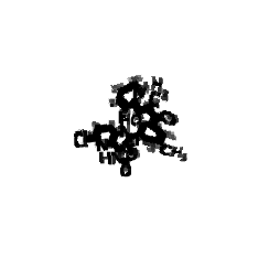 Cc1cc([C@@H](C)Nc2ccc(Cl)nc2-c2noc(=O)[nH]2)c2oc(-c3ncccc3F)c(C)c(=O)c2c1